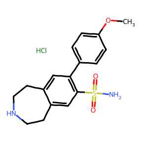 COc1ccc(-c2cc3c(cc2S(N)(=O)=O)CCNCC3)cc1.Cl